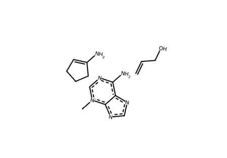 C=CCO.Cn1cnc(N)c2ncnc1-2.NC1=CCCC1